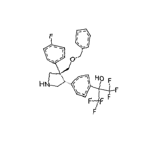 OC(c1ccc([C@@H]2CNC[C@]2(COCc2ccccc2)c2ccc(F)cc2)cc1)(C(F)(F)F)C(F)(F)F